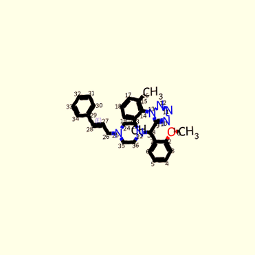 COc1ccccc1C(c1nnnn1-c1c(C)cccc1C)N1CCN(C/C=C/c2ccccc2)CC1